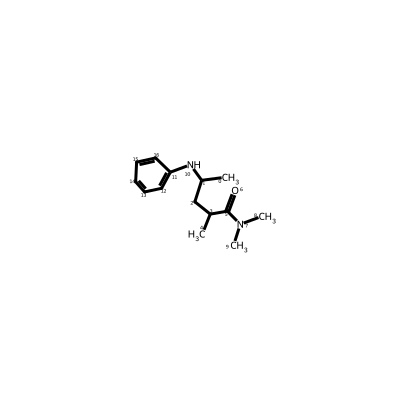 CC(CC(C)C(=O)N(C)C)Nc1ccccc1